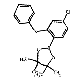 CC1(C)OB(c2ccc(Cl)cc2Sc2ccccc2)OC1(C)C